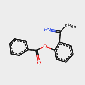 CCCCCCC(=N)c1ccccc1OC(=O)c1ccccc1